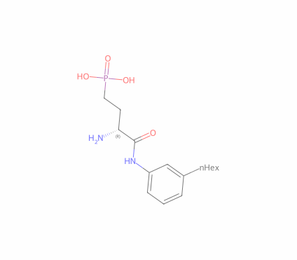 CCCCCCc1cccc(NC(=O)[C@H](N)CCP(=O)(O)O)c1